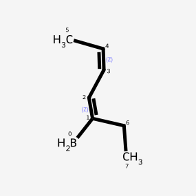 B/C(=C/C=C\C)CC